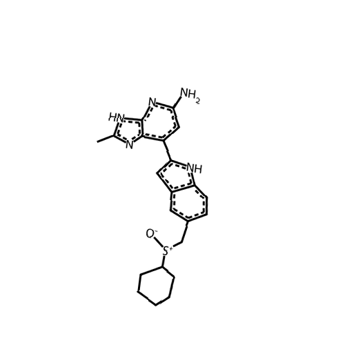 Cc1nc2c(-c3cc4cc(C[S+]([O-])C5CCCCC5)ccc4[nH]3)cc(N)nc2[nH]1